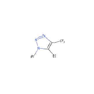 CCc1c(C(F)(F)F)nnn1C(C)C